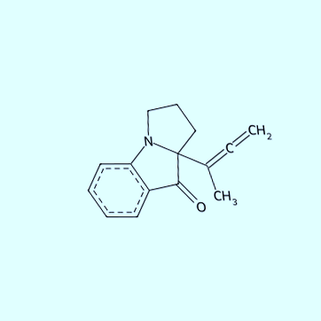 C=C=C(C)C12CCCN1c1ccccc1C2=O